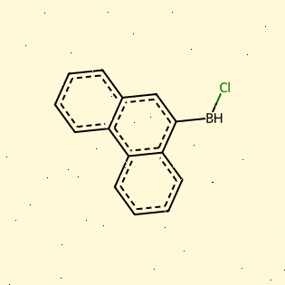 ClBc1cc2ccccc2c2ccccc12